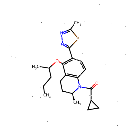 CCCC(C)Oc1c(-c2nnc(C)s2)ccc2c1CC[C@H](C)N2C(=O)C1CC1